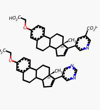 C[C@]12CCC3c4ccc(OCC(=O)O)cc4CCC3C1CC=C2c1cncc(C(=O)O)c1.C[C@]12CCC3c4ccc(OCC(=O)O)cc4CCC3C1CC=C2c1cncnc1